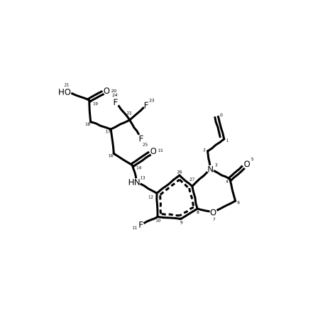 C=CCN1C(=O)COc2cc(F)c(NC(=O)CC(CC(=O)O)C(F)(F)F)cc21